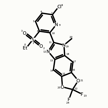 CCS(=O)(=O)c1ccc(Cl)nc1-c1nc2cc3c(cc2n1C)OC(F)(F)O3